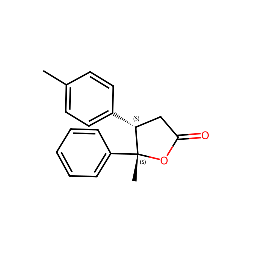 Cc1ccc([C@@H]2CC(=O)O[C@]2(C)c2ccccc2)cc1